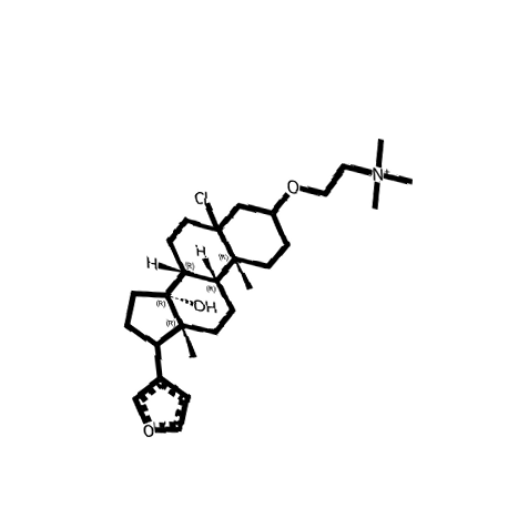 C[C@]12CCC(OCC[N+](C)(C)C)CC1(Cl)CC[C@@H]1[C@H]2CC[C@]2(C)C(c3ccoc3)CC[C@@]12O